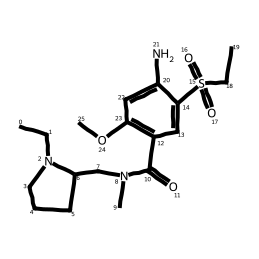 CCN1CCCC1CN(C)C(=O)c1cc(S(=O)(=O)CC)c(N)cc1OC